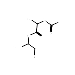 CCC(=O)NC(C(=O)NC(CC(C)C)C(=O)O)C(C)CC